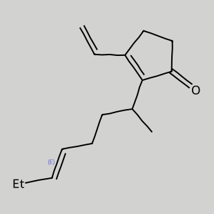 C=CC1=C(C(C)CC/C=C/CC)C(=O)CC1